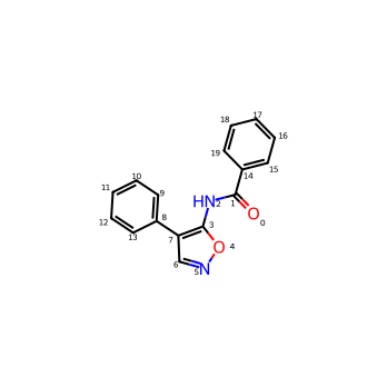 O=C(Nc1oncc1-c1ccccc1)c1ccccc1